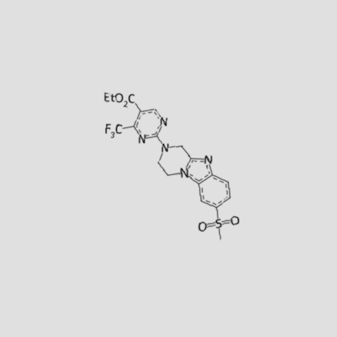 CCOC(=O)c1cnc(N2CCn3c(nc4ccc(S(C)(=O)=O)cc43)C2)nc1C(F)(F)F